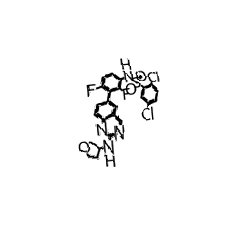 O=S(=O)(Nc1ccc(F)c(-c2ccc3nc(NC4CCOC4)ncc3c2)c1F)c1cc(Cl)ccc1Cl